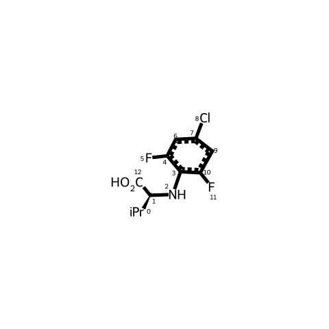 CC(C)[C@H](Nc1c(F)cc(Cl)cc1F)C(=O)O